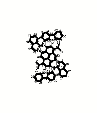 CC(C)c1cc(N(c2nccc3ccccc23)c2cccc3c2oc2ccccc23)c2ccc3c(C(C)C)cc(N(c4nccc5ccccc45)c4cccc5c4oc4ccccc45)c4ccc1c2c34